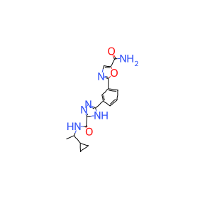 CC(NC(=O)c1nnc(-c2cccc(-c3ncc(C(N)=O)o3)c2)[nH]1)C1CC1